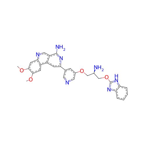 COc1cc2ncc3c(N)nc(-c4cncc(OC[C@@H](N)COc5nc6ccccc6[nH]5)c4)cc3c2cc1OC